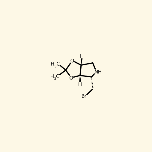 CC1(C)O[C@H]2[C@@H](CBr)NC[C@H]2O1